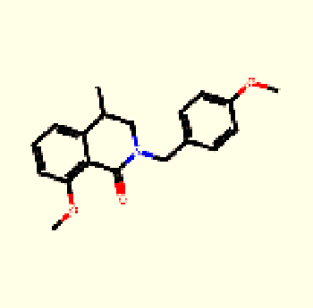 COc1ccc(CN2CC(C)c3cccc(OC)c3C2=O)cc1